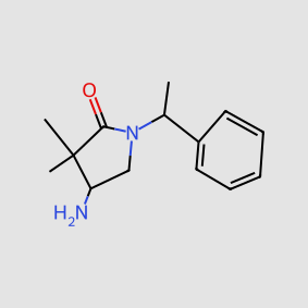 CC(c1ccccc1)N1CC(N)C(C)(C)C1=O